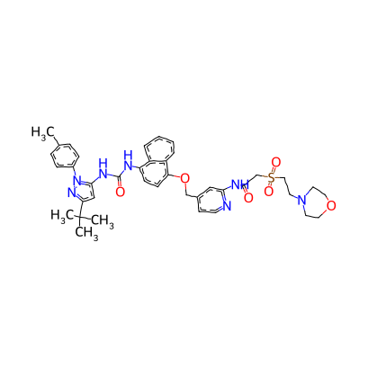 Cc1ccc(-n2nc(C(C)(C)C)cc2NC(=O)Nc2ccc(OCc3ccnc(NC(=O)CS(=O)(=O)CCN4CCOCC4)c3)c3ccccc23)cc1